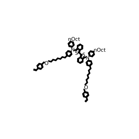 C=Cc1ccc(COCCCCCCCCc2ccc(N(c3ccc(CCCCCCCC)cc3)c3sc(-c4sc(N(c5ccc(CCCCCCCC)cc5)c5ccc(CCCCCCCCOCc6ccc(C=C)cc6)cc5)c5ccccc45)c4ccccc34)cc2)cc1